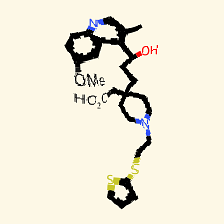 COc1ccc2ncc(C)c(C(O)CCC3(CC(=O)O)CCN(CCSc4cccs4)CC3)c2c1